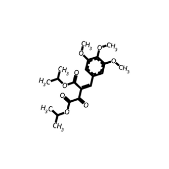 COc1cc(C=C(C(=O)OC(C)C)C(=O)C(=O)OC(C)C)cc(OC)c1OC